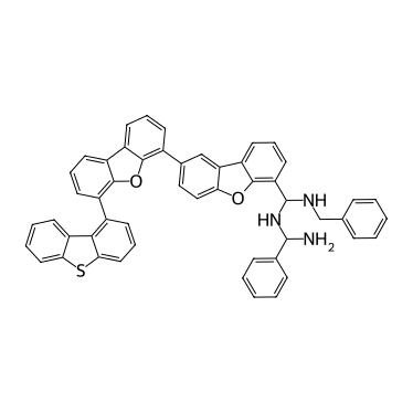 NC(NC(NCc1ccccc1)c1cccc2c1oc1ccc(-c3cccc4c3oc3c(-c5cccc6sc7ccccc7c56)cccc34)cc12)c1ccccc1